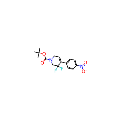 CC(C)(C)OC(=O)N1CC=C(c2ccc([N+](=O)[O-])cc2)C(F)(F)C1